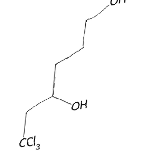 OCCCC(O)CC(Cl)(Cl)Cl